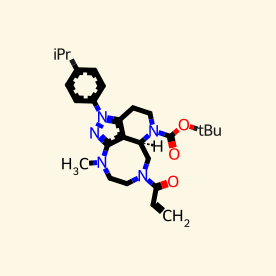 C=CC(=O)N1CCN(C)c2nn(-c3ccc(C(C)C)cc3)c3c2[C@H](C1)N(C(=O)OC(C)(C)C)CC3